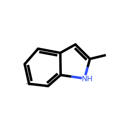 Cc1cc2cc[c]cc2[nH]1